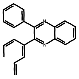 C=C/C=C(\C=C/C)c1nc2ccccc2nc1-c1ccccc1